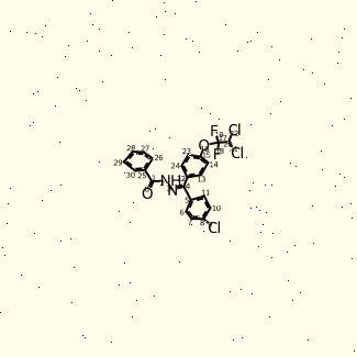 O=C(NN=C(c1ccc(Cl)cc1)c1ccc(OC(F)(F)C(Cl)Cl)cc1)c1ccccc1